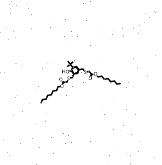 CCCCCCCCOC(=O)CSCc1cc(CSCC(=O)OCCCCCCCC)c(O)c(C(C)(C)C)c1